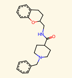 O=C(NCC1CCc2ccccc2O1)C1CCN(Cc2ccccc2)CC1